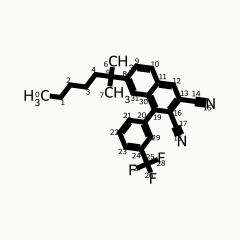 CCCCCC(C)(C)c1ccc2cc(C#N)c(C#N)c(-c3cccc(C(F)(F)F)c3)c2c1